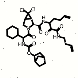 C=CCCNC(=O)C(=O)C(CCC=C)NC(=O)[C@@H]1C2C(CN1C(=O)C(NC(=O)OC1CC3CCC1C3)C1CCCCC1)C2(Cl)Cl